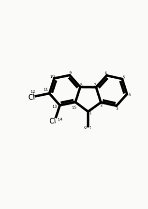 [CH]C1c2ccccc2-c2ccc(Cl)c(Cl)c21